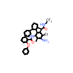 CCc1c(N)c(C)c(NC(=O)c2ccccc2Oc2ccccc2)c2c1C(C(=O)NCC(F)(F)F)c1cccc(-c3ccccc3)c1-2